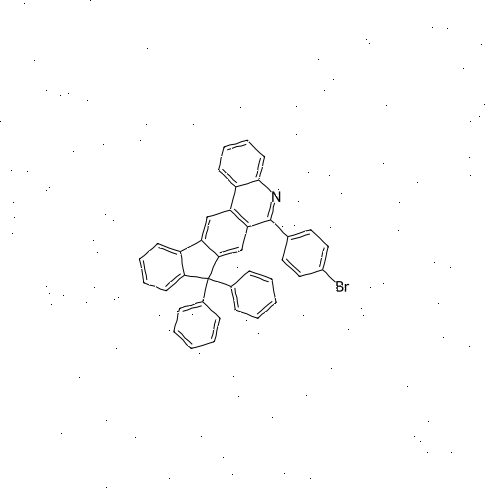 Brc1ccc(-c2nc3ccccc3c3cc4c(cc23)C(c2ccccc2)(c2ccccc2)c2ccccc2-4)cc1